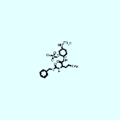 CSCCC(NC(=O)OCc1ccccc1)C(=O)N[C@H]1CCC(NC(=O)O)C[C@H]1CS(=O)(=O)C(C)(C)C